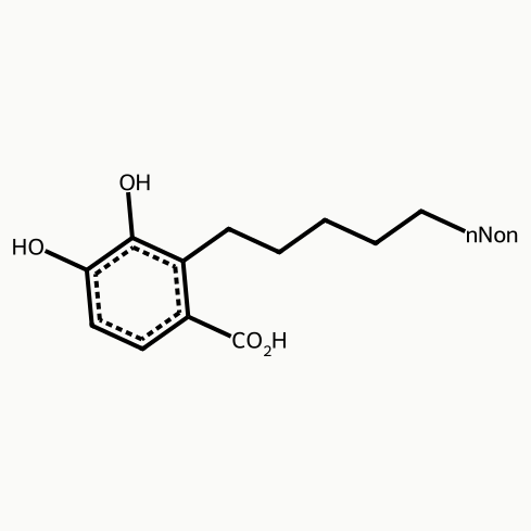 CCCCCCCCCCCCCCc1c(C(=O)O)ccc(O)c1O